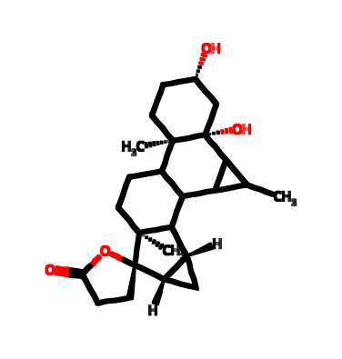 CC1C2C3C4[C@@H]5C[C@@H]5[C@@]5(CCC(=O)O5)[C@@]4(C)CCC3[C@@]3(C)CC[C@H](O)C[C@@]3(O)C12